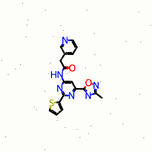 Cc1noc(-c2cc(NC(=O)Cc3cccnc3)nc(-c3cccs3)n2)n1